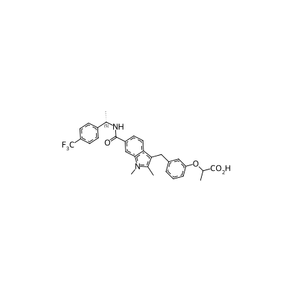 Cc1c(Cc2cccc(OC(C)C(=O)O)c2)c2ccc(C(=O)N[C@@H](C)c3ccc(C(F)(F)F)cc3)cc2n1C